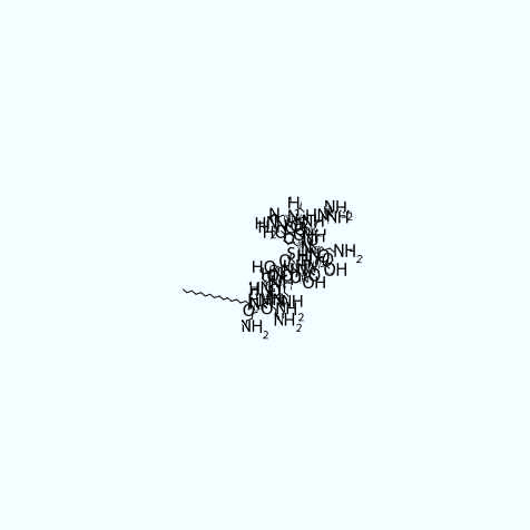 CCCCCCCCCCCCCCCC(=O)N[C@@H](CCCCN)C(=O)N[C@@H](CCCCN)C(=O)N[C@@H](CC(C)C)C(=O)N[C@@H](CCCNC(=N)N)C(=O)N[C@@H](CO)C(=O)N[C@@H](CCSC)C(=O)N[C@H](C(=O)N[C@@H](CC(=O)O)C(=O)N[C@@H](CCCCN)C(=O)N[C@H](Cc1ccc(O)cc1)C(=O)N[C@@H](CCCNC(=N)N)C(=O)N[C@@H](CC(C)C)C(=O)N[C@@H](Cc1c[nH]cn1)C(N)=O)[C@@H](C)O